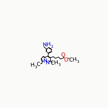 CCOC(=O)CCCCc1c(C)nn2c(CC)ccc2c1-c1cccc(CN)c1